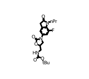 CCCN1C(=O)Cc2cc(N3CC(CNC(=O)OC(C)(C)C)OC3=O)cc(F)c21